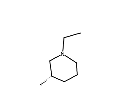 CCN1CCC[C@H](C)C1